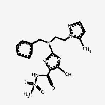 Cc1sc(N(CCn2nccc2C)Cc2ccccc2)nc1C(=O)NS(C)(=O)=O